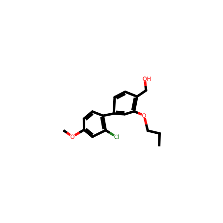 CCCOc1cc(-c2ccc(OC)cc2Cl)ccc1CO